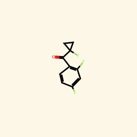 O=C(c1ccc(F)cc1F)C1(F)CC1